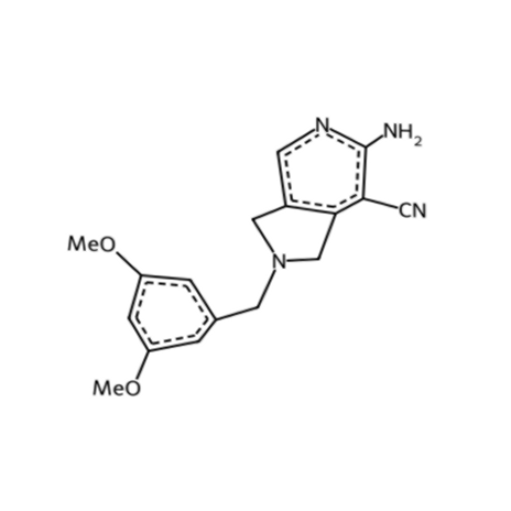 COc1cc(CN2Cc3cnc(N)c(C#N)c3C2)cc(OC)c1